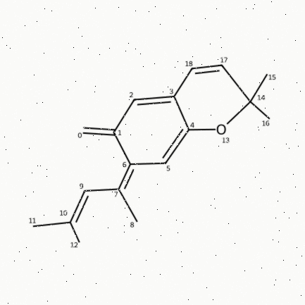 C=c1cc2c(c/c1=C(\C)C=C(C)C)OC(C)(C)C=C2